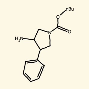 CCCCOC(=O)N1CC(N)C(c2ccccc2)C1